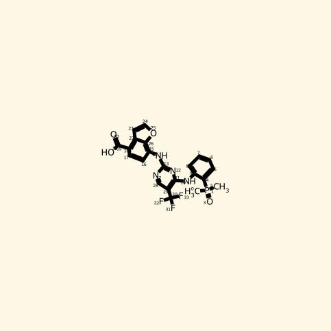 CP(C)(=O)c1ccccc1Nc1nc(Nc2ccc(C(=O)O)c3ccoc23)ncc1C(F)(F)F